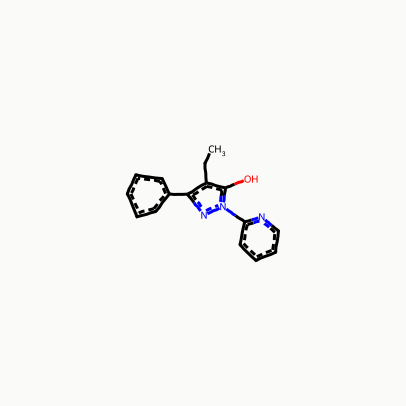 CCc1c(-c2ccccc2)nn(-c2ccccn2)c1O